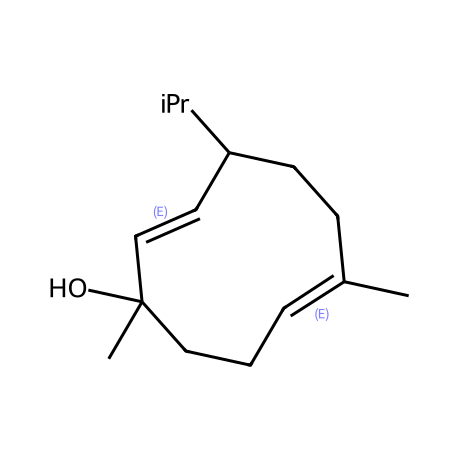 C/C1=C\CCC(C)(O)/C=C/C(C(C)C)CC1